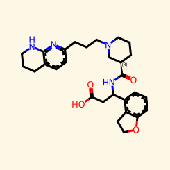 O=C(O)CC(NC(=O)[C@@H]1CCCN(CCCc2ccc3c(n2)NCCC3)C1)c1cccc2c1CCO2